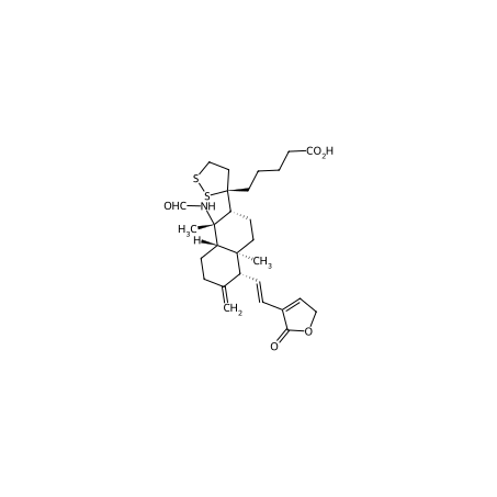 C=C1CC[C@H]2[C@@](C)(CC[C@@H]([C@@]3(CCCCC(=O)O)CCSS3)[C@@]2(C)NC=O)[C@@H]1/C=C/C1=CCOC1=O